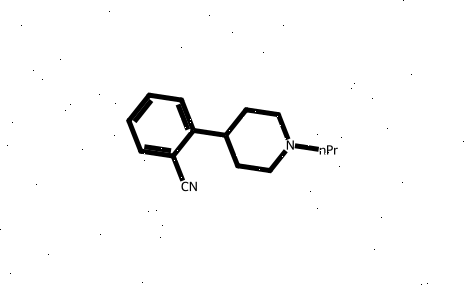 [CH2]CCN1CCC(c2ccccc2C#N)CC1